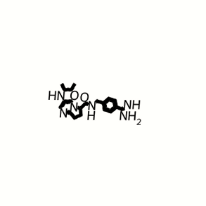 CCC(C)Nc1cnc2n(c1=O)C(C(=O)NCc1ccc(C(=N)N)cc1)CC2